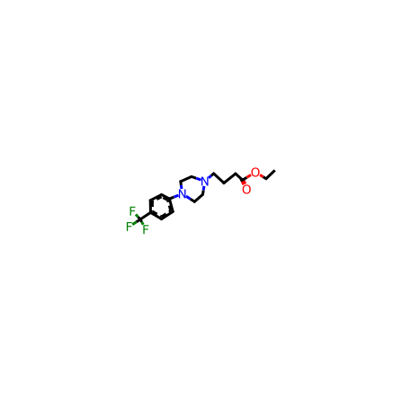 CCOC(=O)CCCN1CCN(c2ccc(C(F)(F)F)cc2)CC1